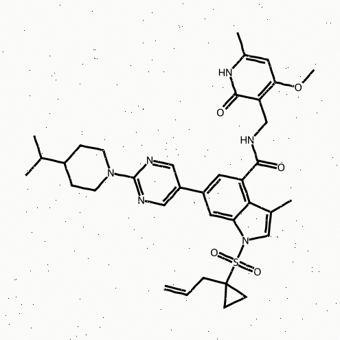 C=CCC1(S(=O)(=O)n2cc(C)c3c(C(=O)NCc4c(OC)cc(C)[nH]c4=O)cc(-c4cnc(N5CCC(C(C)C)CC5)nc4)cc32)CC1